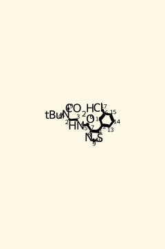 CC(C)(C)N(CCNC(=O)c1ncsc1-c1cccc(Cl)c1)C(=O)O